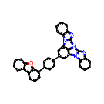 c1ccc2c(c1)nc1n2c2cc(-c3ccc(-c4cccc5c4oc4ccccc45)cc3)cc3c2n1c1nc2ccccc2n31